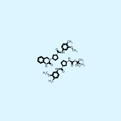 COc1cc(NC(=O)[C@@H]2CC[C@H](N3Cc4ccccc4NC3=O)C2)ccc1C.COc1cc(NC(=O)[C@@H]2CC[C@H](NC(=O)OC(C)(C)C)C2)ccc1C